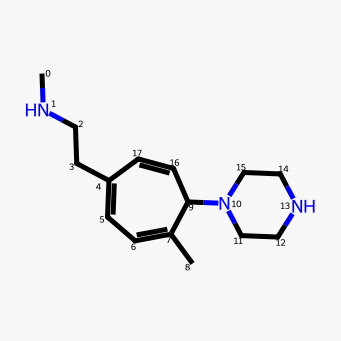 CNCCC1=CC=C(C)C(N2CCNCC2)C=C1